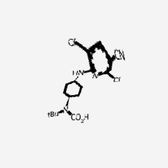 CC(C)(C)N(C(=O)O)[C@H]1CC[C@H](Nc2nc(Cl)c(C#N)cc2Cl)CC1